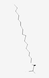 CCCCC(CC)C(=O)OCCCCCCCCCCCCCCCC(C)C